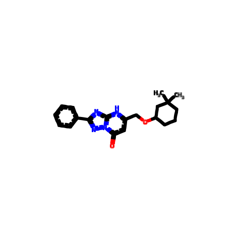 CC1(C)CCCC(OCc2cc(=O)n3nc(-c4ccccc4)nc3[nH]2)C1